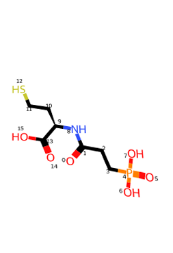 O=C(CCP(=O)(O)O)N[C@H](CCS)C(=O)O